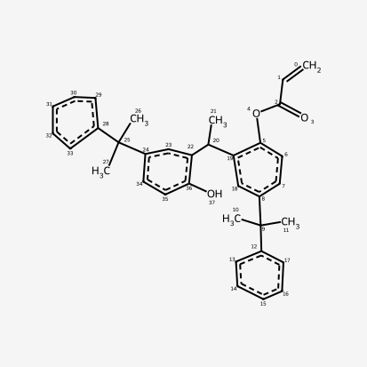 C=CC(=O)Oc1ccc(C(C)(C)c2ccccc2)cc1C(C)c1cc(C(C)(C)c2ccccc2)ccc1O